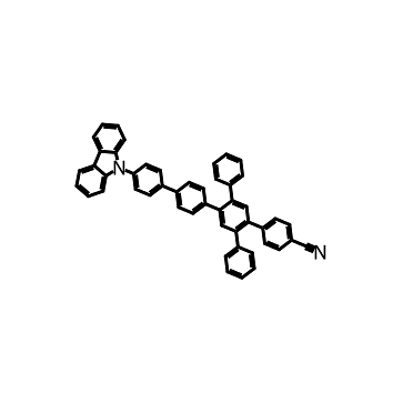 N#Cc1ccc(-c2cc(-c3ccccc3)c(-c3ccc(-c4ccc(-n5c6ccccc6c6ccccc65)cc4)cc3)cc2-c2ccccc2)cc1